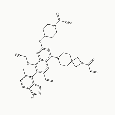 C=CC(=O)N1CC2(CCN(c3nc(OC4CCN(C(=O)OC)CC4)nc4c(OCC(F)(F)F)c(-c5c(C)ccc6[nH]ncc56)c(C=C)cc34)CC2)C1